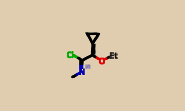 CCOC(=C1CC1)/C(Cl)=N/C